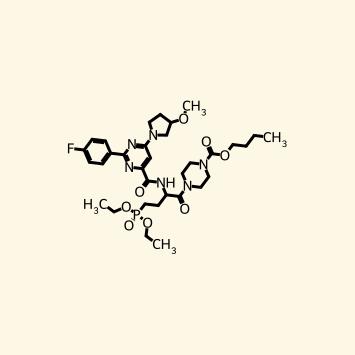 CCCCOC(=O)N1CCN(C(=O)C(CCP(=O)(OCC)OCC)NC(=O)c2cc(N3CCC(OC)C3)nc(-c3ccc(F)cc3)n2)CC1